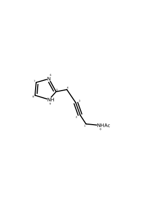 CC(=O)NCC#CCc1ncc[nH]1